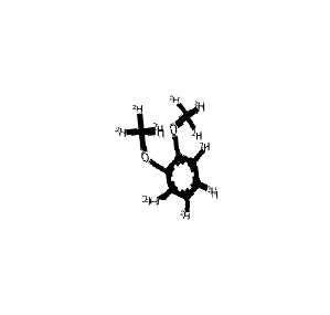 [2H]c1c([2H])c([2H])c(OC([2H])([2H])[2H])c(OC([2H])([2H])[2H])c1[2H]